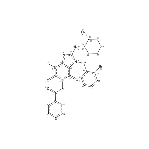 Cn1c(=O)n(CC(=O)c2ccccc2)c(=O)c2c1nc(N[C@H]1CCCC[C@H]1N)n2Cc1ccccc1Br